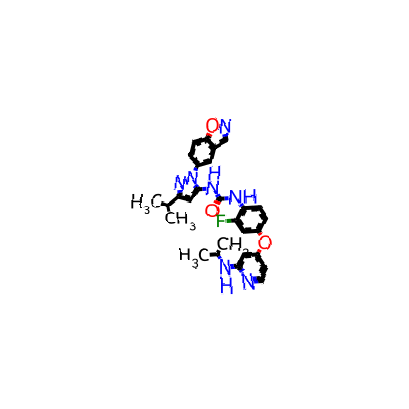 CC(C)Nc1cc(Oc2ccc(NC(=O)Nc3cc(C(C)C)nn3-c3ccc4oncc4c3)c(F)c2)ccn1